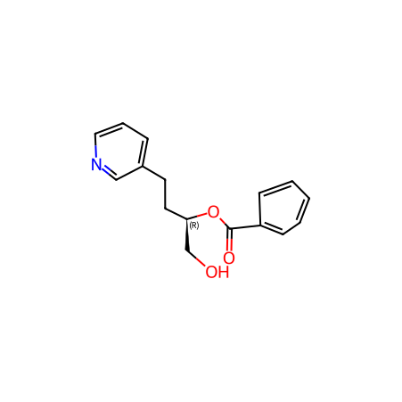 O=C(O[C@@H](CO)CCc1cccnc1)c1ccccc1